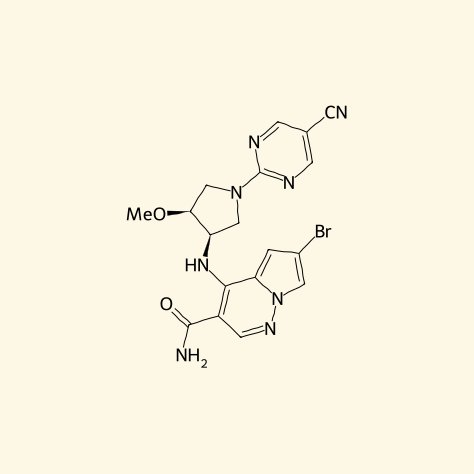 CO[C@H]1CN(c2ncc(C#N)cn2)C[C@H]1Nc1c(C(N)=O)cnn2cc(Br)cc12